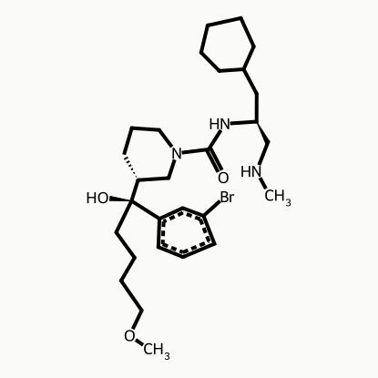 CNC[C@H](CC1CCCCC1)NC(=O)N1CCC[C@@H]([C@@](O)(CCCCOC)c2cccc(Br)c2)C1